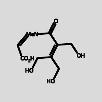 C=CC(=O)O.CNC(=O)C(CO)=C(CO)CO